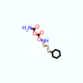 NC(=O)OC(=O)ONSSSC1CCCCC1